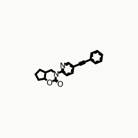 O=C1OC2CCCC2CN1c1ccc(C#Cc2ccccc2)cn1